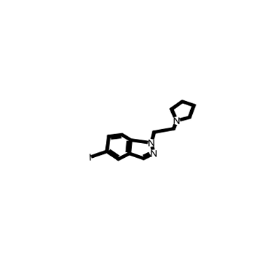 Ic1ccc2c(cnn2CCN2CCCC2)c1